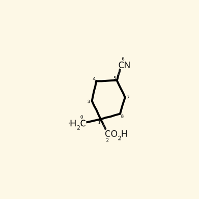 [CH2]C1(C(=O)O)CCC(C#N)CC1